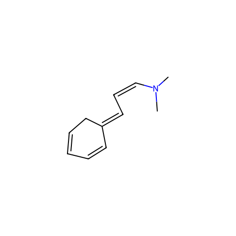 CN(C)/C=C\C=C1\C=CC=CC1